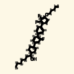 C=CCCCOc1ccc(-c2ccc(-c3ccc(C4=CCC(C(O)CCCCCC)CC4)cc3F)cc2)c(F)c1F